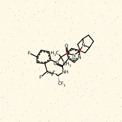 C[C@H](NC(=O)c1ccc(N2C3CCC2CC(NC(=O)C(C)(C)Oc2ccc(F)cc2C(F)F)C3)nc1)C(F)(F)F